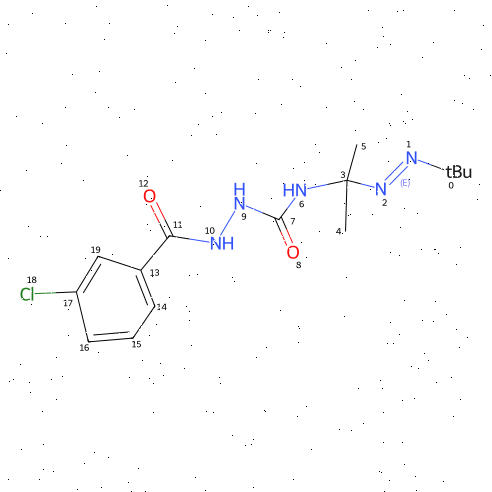 CC(C)(C)/N=N/C(C)(C)NC(=O)NNC(=O)c1cccc(Cl)c1